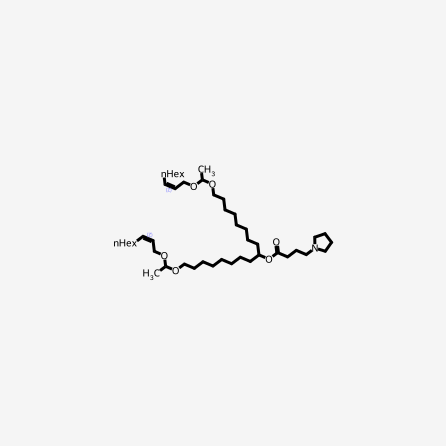 CCCCCC/C=C\COC(C)OCCCCCCCCC(CCCCCCCCOC(C)OC/C=C\CCCCCC)OC(=O)CCCN1CCCC1